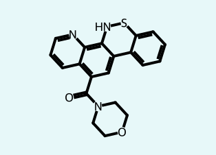 O=C(c1cc2c(c3ncccc13)NSc1ccccc1-2)N1CCOCC1